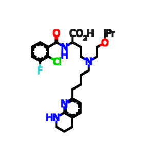 CC(C)OCCN(CCCCc1ccc2c(n1)NCCC2)CCC(NC(=O)c1cccc(F)c1Cl)C(=O)O